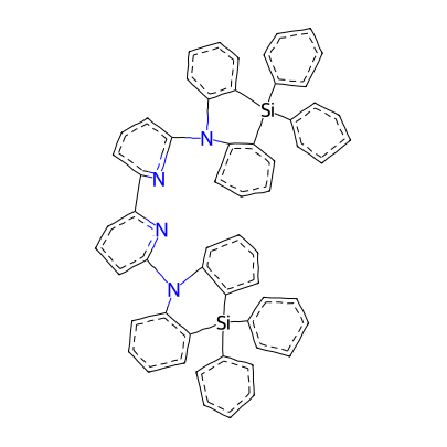 c1ccc([Si]2(c3ccccc3)c3ccccc3N(c3cccc(-c4cccc(N5c6ccccc6[Si](c6ccccc6)(c6ccccc6)c6ccccc65)n4)n3)c3ccccc32)cc1